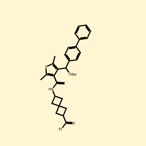 C=C(NC1CC2(C1)CC(C(=O)CC)C2)c1c(C)sc(C)c1C(OC)c1ccc(-c2ccccc2)cc1